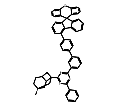 C[C@@]12CCC3CC(c4nc(-c5ccccc5)nc(-c5cccc(-c6ccc(-c7cccc8c7-c7ccccc7C87c8ccccc8Oc8ccccc87)cc6)c5)n4)(C1)C3C2